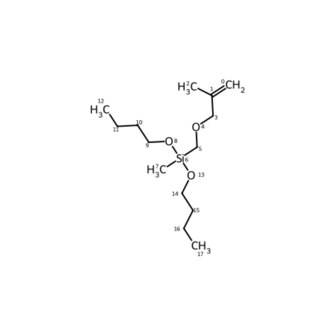 C=C(C)COC[Si](C)(OCCCC)OCCCC